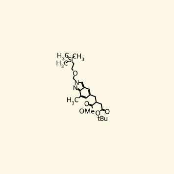 COC(=O)C(CC(=O)OC(C)(C)C)Cc1cc(C)c2nn(COCC[Si](C)(C)C)cc2c1